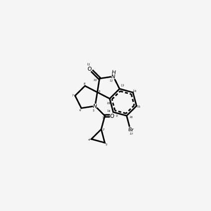 O=C(C1CC1)N1CCCC12C(=O)Nc1ccc(Br)cc12